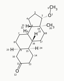 CO[C@H]1CC[C@H]2[C@@H]3CC[C@@H]4CC(=O)CC[C@@H]4[C@H]3CC[C@]12C